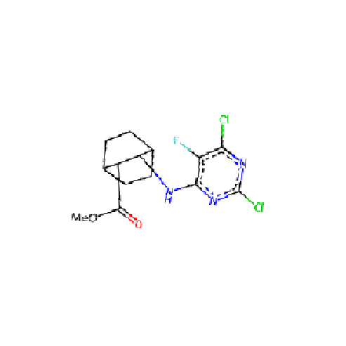 COC(=O)C1C2CCC(CC2)C1Nc1nc(Cl)nc(Cl)c1F